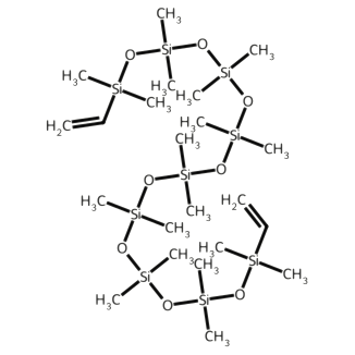 C=C[Si](C)(C)O[Si](C)(C)O[Si](C)(C)O[Si](C)(C)O[Si](C)(C)O[Si](C)(C)O[Si](C)(C)O[Si](C)(C)O[Si](C)(C)C=C